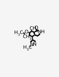 Cc1c(OC(C)C)cc(-c2cnn(C)c2)c2cc[nH]c(=O)c12